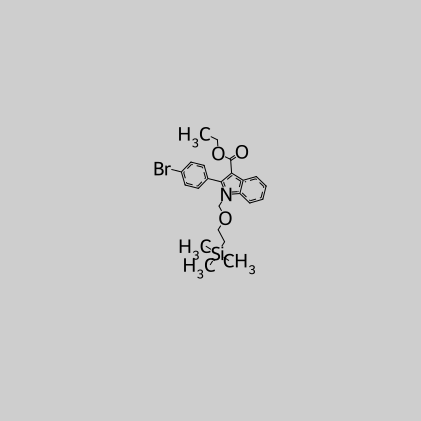 CCOC(=O)c1c(-c2ccc(Br)cc2)n(COCC[Si](C)(C)C)c2ccccc12